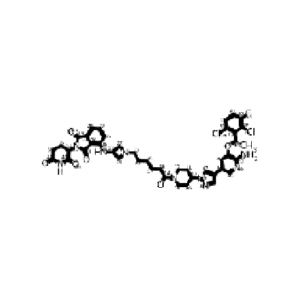 C[C@H](Oc1cc(-c2cnn(C3CCN(C(=O)CCCCCN4CC(Nc5cccc6c5C(=O)N(C5CCC(=O)NC5=O)C6=O)C4)CC3)c2)cnc1N)c1c(Cl)ccc(F)c1Cl